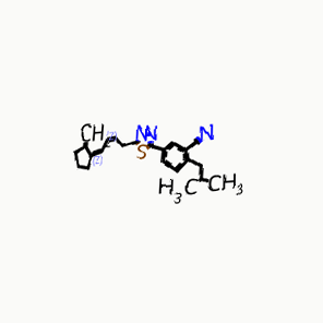 C=C1CCC/C1=C/C=C\Cc1nnc(-c2ccc(CC(C)C)c(C#N)c2)s1